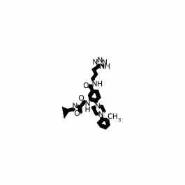 Cc1ccccc1N1CCN(c2ccc(C(=O)NCCCc3nnn[nH]3)cc2NC(=O)c2coc(C3CC3)n2)CC1